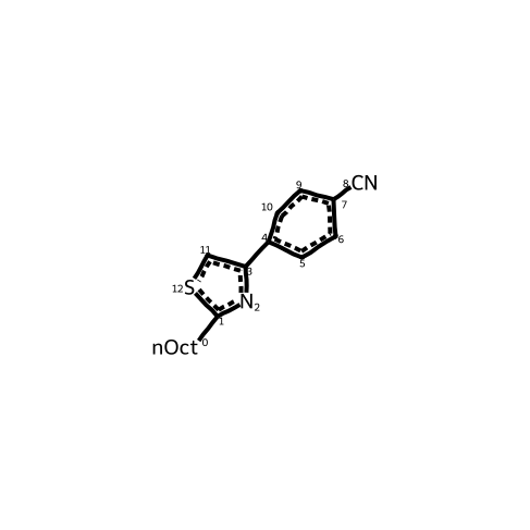 CCCCCCCCc1nc(-c2ccc(C#N)cc2)cs1